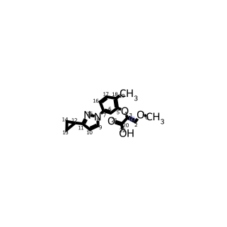 CO/C=C(\Oc1cc(-n2ccc(C3CC3)n2)ccc1C)C(=O)O